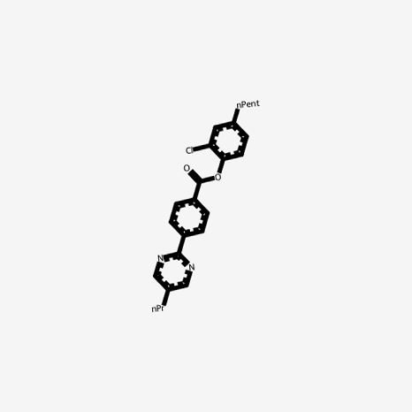 CCCCCc1ccc(OC(=O)c2ccc(-c3ncc(CCC)cn3)cc2)c(Cl)c1